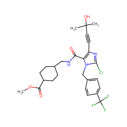 COC(=O)C1CCC(CNC(=O)c2c(C#CC(C)(C)O)nc(Cl)n2Cc2ccc(C(F)(F)F)cc2)CC1